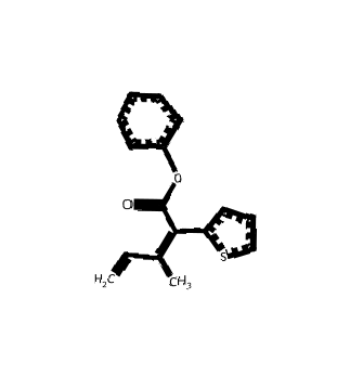 C=CC(C)=C(C(=O)Oc1ccccc1)c1cccs1